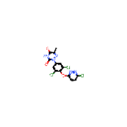 Cc1nn(-c2cc(Cl)c(Oc3ccc(Cl)nn3)c(Cl)c2)c(=O)[nH]c1=O